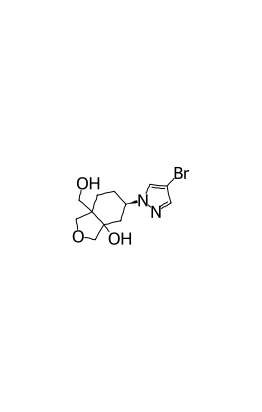 OCC12CC[C@@H](n3cc(Br)cn3)CC1(O)COC2